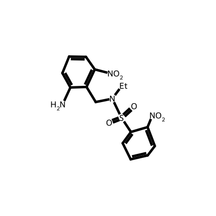 CCN(Cc1c(N)cccc1[N+](=O)[O-])S(=O)(=O)c1ccccc1[N+](=O)[O-]